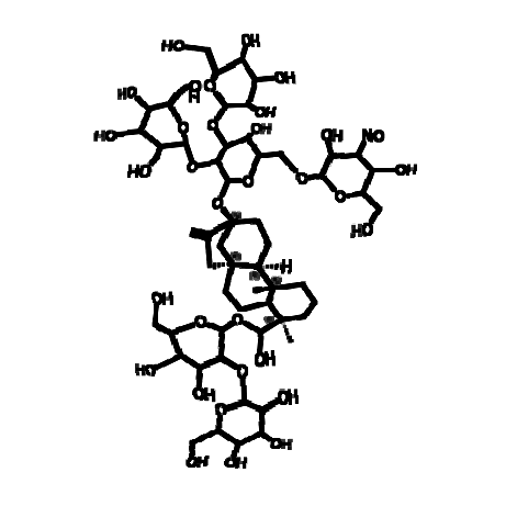 C=C1C[C@@]23CCC4[C@](C)(C(O)OC5OC(CO)C(O)C(O)C5OC5OC(CO)C(O)C(O)C5O)CCC[C@@]4(C)[C@@H]2CC[C@]1(OC1OC(COC2OC(CO)C(O)C(N=O)C2O)C(O)C(OC2OC(CO)C(O)C(O)C2O)C1OC1OC(CO)C(O)C(O)C1O)C3